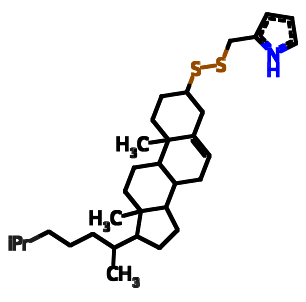 CC(C)CCCC(C)C1CCC2C3CC=C4CC(SSCc5ccc[nH]5)CCC4(C)C3CCC12C